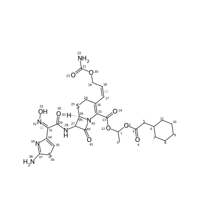 CC(OC(=O)CC1CCCCC1)OC(=O)C1=C(/C=C\COC(N)=O)CS[C@@H]2C(NC(=O)/C(=N\O)c3csc(N)n3)C(=O)N12